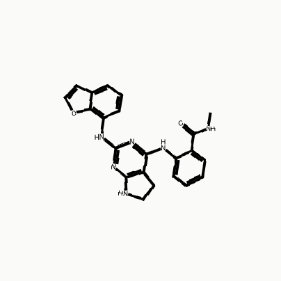 CNC(=O)c1ccccc1Nc1nc(Nc2cccc3ccoc23)nc2c1CCN2